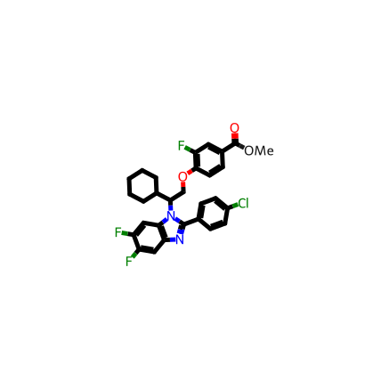 COC(=O)c1ccc(OCC(C2CCCCC2)n2c(-c3ccc(Cl)cc3)nc3cc(F)c(F)cc32)c(F)c1